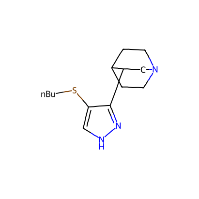 CCCCSc1c[nH]nc1C1CN2CCC1CC2